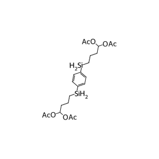 CC(=O)OC(CCC[SiH2]c1ccc([SiH2]CCCC(OC(C)=O)OC(C)=O)cc1)OC(C)=O